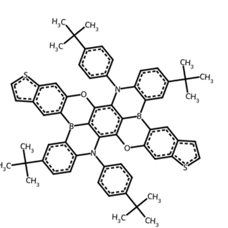 CC(C)(C)c1ccc(N2c3ccc(C(C)(C)C)cc3B3c4cc5ccsc5cc4Oc4c3c2c2c3c4N(c4ccc(C(C)(C)C)cc4)c4ccc(C(C)(C)C)cc4B3c3cc4ccsc4cc3O2)cc1